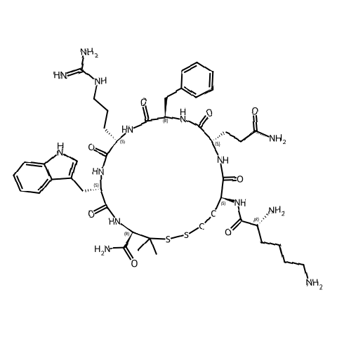 CC1(C)SSCC[C@H](NC(=O)[C@H](N)CCCCN)C(=O)N[C@@H](CCC(N)=O)C(=O)N[C@H](Cc2ccccc2)C(=O)N[C@@H](CCCNC(=N)N)C(=O)N[C@@H](Cc2c[nH]c3ccccc23)C(=O)N[C@@H]1C(N)=O